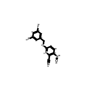 N#Cc1nc(SCc2cc(F)cc(F)c2)ccc1N=O